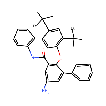 CCC(C)(C)c1ccc(Oc2c(C(=O)Nc3ccccc3)cc(N)cc2-c2ccccc2)c(C(C)(C)CC)c1